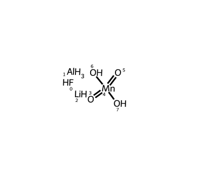 F.[AlH3].[LiH].[O]=[Mn](=[O])([OH])[OH]